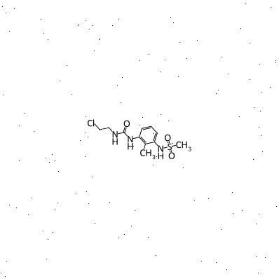 Cc1c(NC(=O)NCCCl)cccc1NS(C)(=O)=O